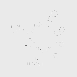 N=C(N)NCCC[C@H]1NC(=O)[C@H](CO)NC(=O)[C@@H](CCCNC(=N)N)NC(=O)[C@H](CO)NC(=O)[C@H](Cc2ccc3ccccc3c2)NC(=O)[C@@H](Cc2ccccc2)NC(=O)[C@H](Cc2ccccc2)NC(=O)[C@H](CCC(=O)O)NC1=O